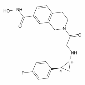 O=C(NO)c1ccc2c(c1)CN(C(=O)CN[C@@H]1C[C@H]1c1ccc(F)cc1)CC2